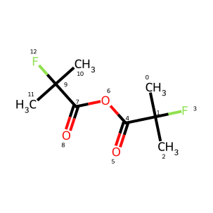 CC(C)(F)C(=O)OC(=O)C(C)(C)F